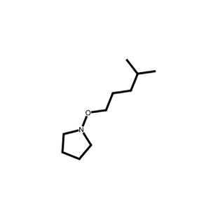 CC(C)CCCON1CCCC1